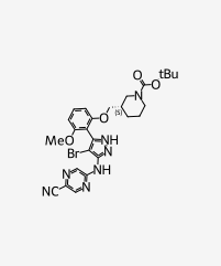 COc1cccc(OC[C@H]2CCCN(C(=O)OC(C)(C)C)C2)c1-c1[nH]nc(Nc2cnc(C#N)cn2)c1Br